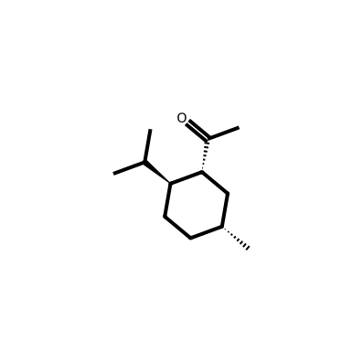 CC(=O)[C@@H]1C[C@H](C)CC[C@H]1C(C)C